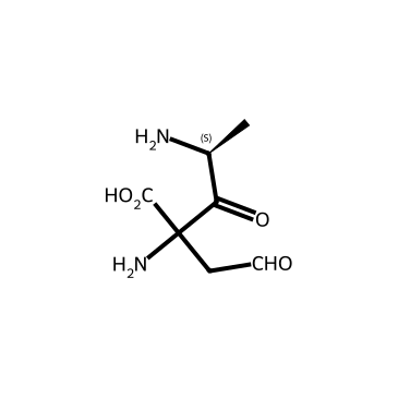 C[C@H](N)C(=O)C(N)(CC=O)C(=O)O